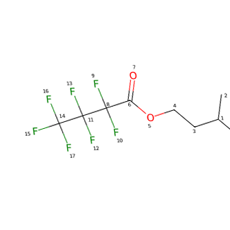 CC(C)CCOC(=O)C(F)(F)C(F)(F)C(F)(F)F